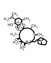 CCCN1C2CCC1CC([C@@H]1COC(=O)C(C)(C)C(=O)[C@H](C)[C@@H](O[C@@H]3O[C@H](C)C[C@H](N(C)C)[C@H]3O)[C@](C)(OC)C[C@@H](C)CN1C)C2